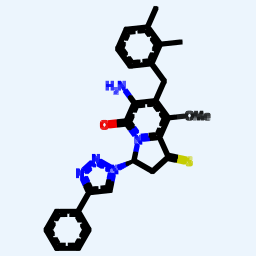 COc1c(Cc2cccc(C)c2C)c(N)c(=O)n2c1C(=S)C[C@H]2n1cc(-c2ccccc2)nn1